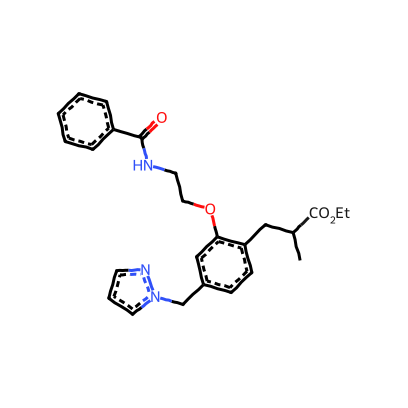 CCOC(=O)C(C)Cc1ccc(Cn2cccn2)cc1OCCNC(=O)c1ccccc1